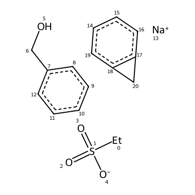 CCS(=O)(=O)[O-].OCc1ccccc1.[Na+].c1ccc2c(c1)C2